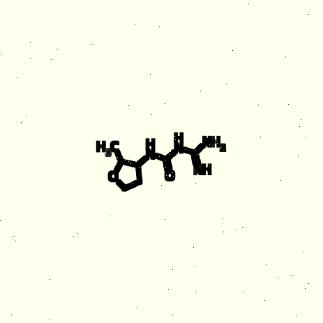 CC1OCCC1NC(=O)NC(=N)N